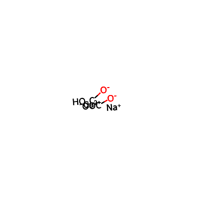 O=C([O-])O.O=C([O-])[O-].[Ca+2].[Na+]